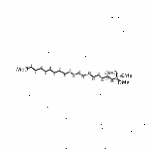 COCCCCCCCCCCCCCCCCCC[Si](OC)(OC)OC